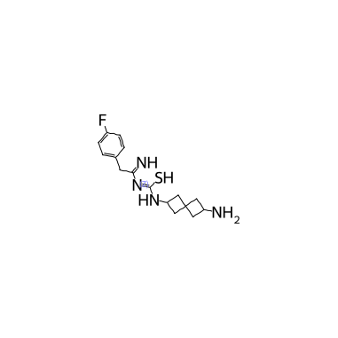 N=C(Cc1ccc(F)cc1)/N=C(\S)NC1CC2(CC(N)C2)C1